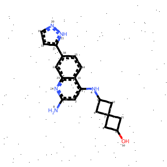 Nc1cc(NC2CC3(CC(O)C3)C2)c2ccc(-c3ccn[nH]3)cc2n1